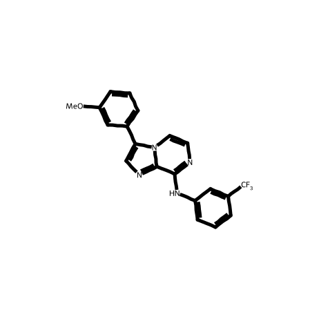 COc1cccc(-c2cnc3c(Nc4cccc(C(F)(F)F)c4)nccn23)c1